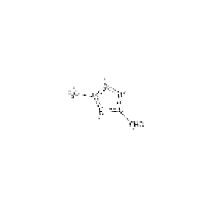 O=[C]c1csc(C(F)(F)F)n1